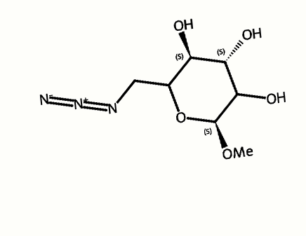 CO[C@H]1OC(CN=[N+]=[N-])[C@@H](O)[C@H](O)C1O